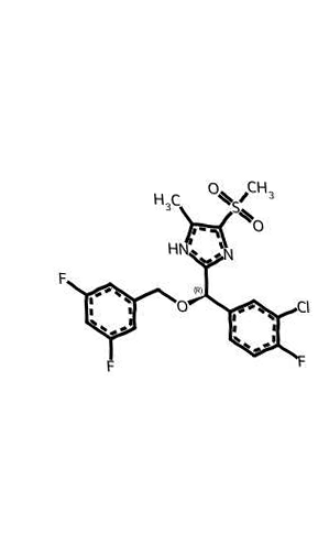 Cc1[nH]c([C@H](OCc2cc(F)cc(F)c2)c2ccc(F)c(Cl)c2)nc1S(C)(=O)=O